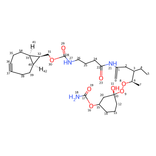 C=C(CC(CC)[C@@H](C)OO[C@]1(O)CCCC(OC(N)=O)C1)NC(=O)CCCNC(=O)OC[C@@H]1[C@@H]2CCC#CCC[C@@H]21